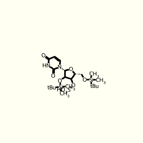 CC(C)(C)[Si](C)(C)OC[C@H]1O[C@@H](n2ccc(=O)[nH]c2=O)C(O[Si](C)(C)C(C)(C)C)C1OS(=O)(=O)O